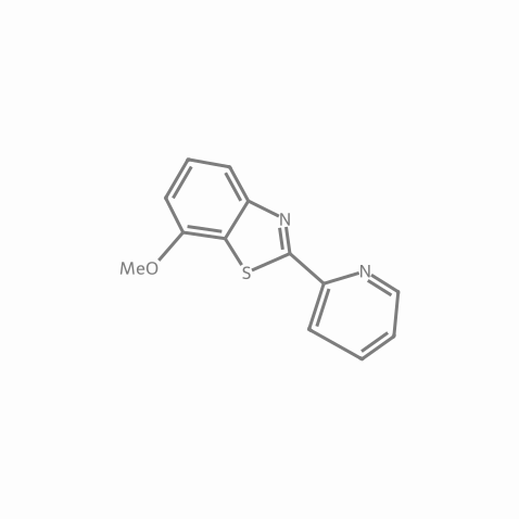 COc1cccc2nc(-c3ccccn3)sc12